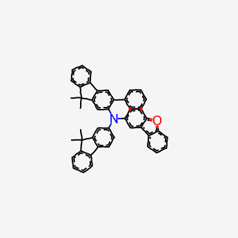 CC1(C)c2ccccc2-c2ccc(N(c3ccc4oc5ccccc5c4c3)c3cc4c(cc3-c3ccccc3)-c3ccccc3C4(C)C)cc21